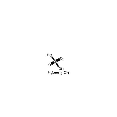 CCN.Cl.O=S(=O)(O)O